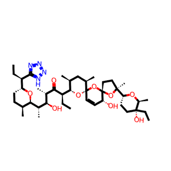 CC[C@@H](C(=O)[C@@H](C)[C@@H](O)[C@H](C)[C@@H]1O[C@@H]([C@@H](CC)c2nnn[nH]2)CC[C@@H]1C)[C@H]1O[C@]2(C=C[C@@H](O)[C@]3(CC[C@@](C)([C@H]4CC[C@](O)(CC)[C@H](C)O4)O3)O2)[C@H](C)C[C@@H]1C